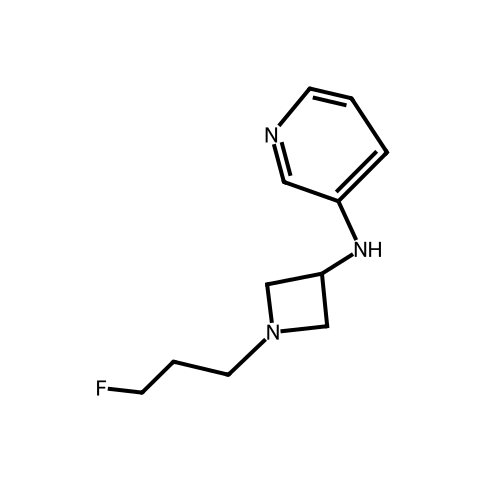 FCCCN1CC(Nc2cccnc2)C1